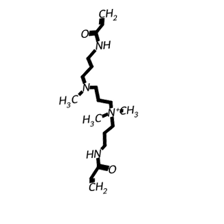 C=CC(=O)NCCCN(C)CCC[N+](C)(C)CCCNC(=O)C=C